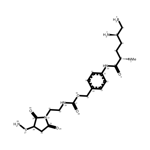 BC[C@H](N)CC[C@H](NC)C(=O)Nc1ccc(COC(=O)NCCN2C(=O)CC(SN)C2=O)cc1